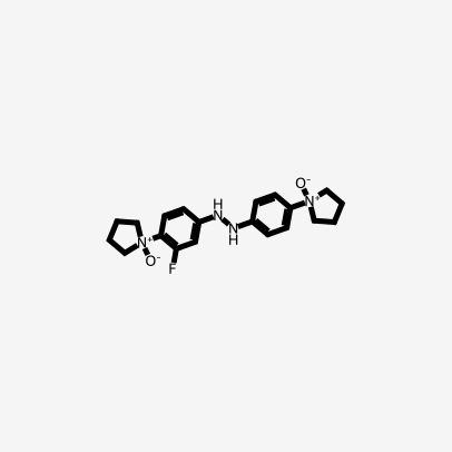 [O-][N+]1(c2ccc(NNc3ccc([N+]4([O-])CCCC4)c(F)c3)cc2)CCCC1